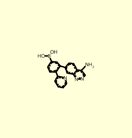 Nc1cnnc2cc(-c3cc(B(O)O)ccc3-c3ccccn3)ccc12